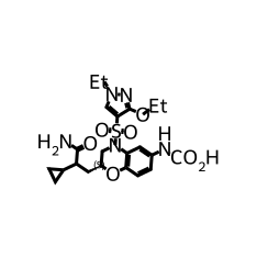 CCOc1nn(CC)cc1S(=O)(=O)N1C[C@H](CC(C(N)=O)C2CC2)Oc2ccc(NC(=O)O)cc21